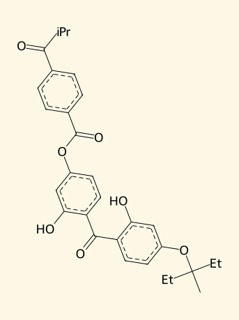 CCC(C)(CC)Oc1ccc(C(=O)c2ccc(OC(=O)c3ccc(C(=O)C(C)C)cc3)cc2O)c(O)c1